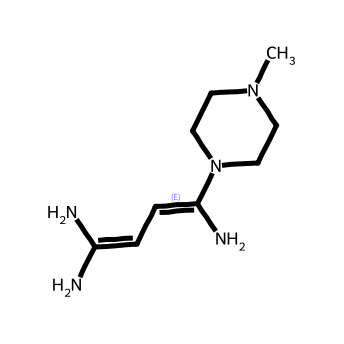 CN1CCN(/C(N)=C/C=C(N)N)CC1